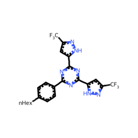 CCCCCCc1ccc(-c2nc(-c3cc(C(F)(F)F)n[nH]3)nc(-c3cc(C(F)(F)F)n[nH]3)n2)cc1